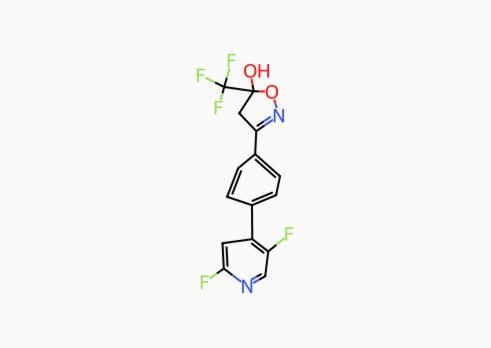 OC1(C(F)(F)F)CC(c2ccc(-c3cc(F)ncc3F)cc2)=NO1